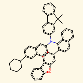 CC1(C)c2ccccc2-c2ccc(N(c3ccc4cc(C5CCCCC5)ccc4c3)c3c(-c4ccc5c(c4)oc4ccccc45)ccc4ccccc34)cc21